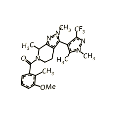 COc1cccc(C(=O)N2CCc3c(nn(C)c3-c3c(C(F)(F)F)nn(C)c3C)C2C)c1C